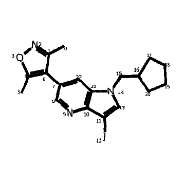 Cc1noc(C)c1-c1cnc2c(I)cn(CC3CCCC3)c2c1